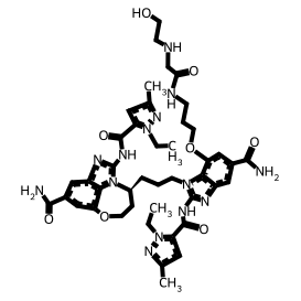 CCn1nc(C)cc1C(=O)Nc1nc2cc(C(N)=O)cc(OCCCNC(=O)CNCCO)c2n1CCC[C@H]1CCOc2cc(C(N)=O)cc3nc(NC(=O)c4cc(C)nn4CC)n1c23